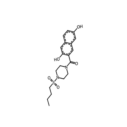 CCCCS(=O)(=O)N1CCN(C(=O)c2cc3cc(O)ccc3cc2O)CC1